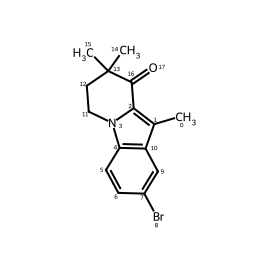 Cc1c2n(c3ccc(Br)cc13)CCC(C)(C)C2=O